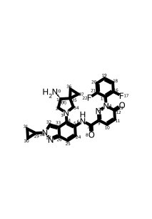 N[C@H]1CN(c2c(NC(=O)c3ccc(=O)n(-c4c(F)cccc4F)n3)ccc3nn(C4CC4)cc23)CC12CC2